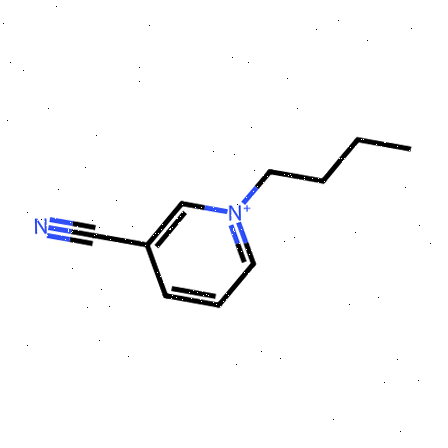 CCCC[n+]1cccc(C#N)c1